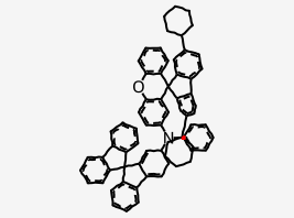 C1=C2C(=CC(N(c3ccccc3)c3ccc4c(c3)C3(c5ccccc5O4)c4cc(C5CCCCC5)ccc4-c4ccc(C5CCCCC5)cc43)C1)C1(c3ccccc32)c2ccccc2-c2ccccc21